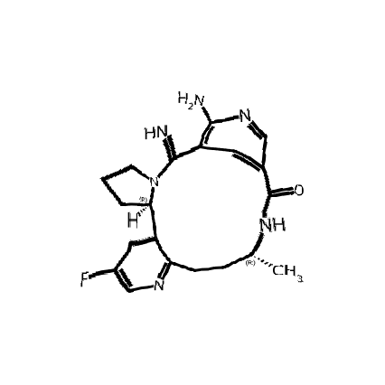 C[C@@H]1CCC2=NC=C(F)CC2[C@H]2CCCN2C(=N)c2cc(cnc2N)C(=O)N1